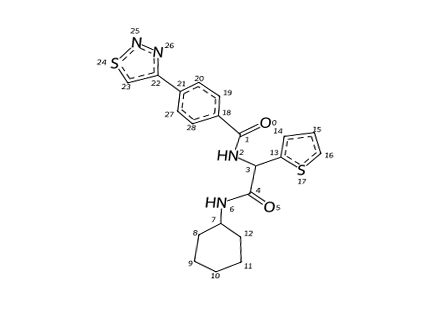 O=C(NC(C(=O)NC1CCCCC1)c1cccs1)c1ccc(-c2csnn2)cc1